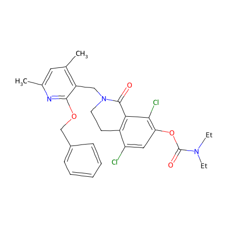 CCN(CC)C(=O)Oc1cc(Cl)c2c(c1Cl)C(=O)N(Cc1c(C)cc(C)nc1OCc1ccccc1)CC2